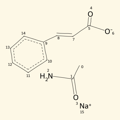 CC(N)=O.O=C([O-])C=Cc1ccccc1.[Na+]